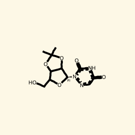 CC1(C)OC2C(CO)O[C@@H](n3ncc(=O)[nH]c3=O)C2O1